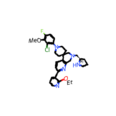 CCOc1ncccc1-c1ccc2c(n1)CN(C[C@H]1CCCN1)CC21CCN(c2ccc(F)c(OC)c2Cl)CC1